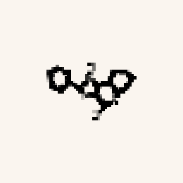 Cn1c(-c2ccccc2)nc2c(Cl)nc3ccccc3c21